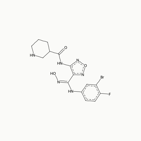 O=C(Nc1nonc1/C(=N\O)Nc1ccc(F)c(Br)c1)C1CCCNC1